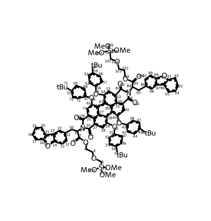 CO[Si](COCCOC(=O)C(Cc1ccc2oc3ccccc3c2c1)N1C(=O)c2cc(Oc3ccc(C(C)(C)C)cc3)c3c4c(Oc5ccc(C(C)(C)C)cc5)cc5c6c(cc(Oc7ccc(C(C)(C)C)cc7)c(c7c(Oc8ccc(C(C)(C)C)cc8)cc(c2c37)C1=O)c64)C(=O)N(C(Cc1ccc2oc3ccccc3c2c1)C(=O)OCCOC[Si](OC)(OC)OC)C5=O)(OC)OC